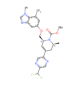 CC(C)n1cnc2cc(OC[C@@H]3C=C(c4cnc(C(F)F)cn4)C[C@H](C)N3C(=O)OC(C)(C)C)cc(C(F)(F)F)c21